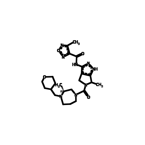 Cc1nonc1C(=O)Nc1n[nH]c2c1CN(C(=O)N1CCCN(CC3CCOCC3)[C@H](C)C1)C2C